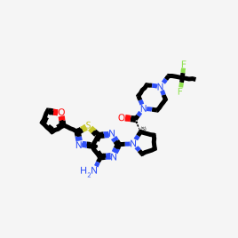 CC(F)(F)CN1CCN(C(=O)[C@@H]2CCCN2c2nc(N)c3nc(-c4ccco4)sc3n2)CC1